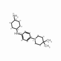 CC1(C)CCN(c2ccc(NC3CCC(N)CC3)cc2)CC1